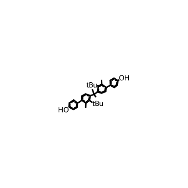 Cc1c(-c2ccc(O)cc2)ccc(C(C)(C)c2ccc(-c3ccc(O)cc3)c(C)c2C(C)(C)C)c1C(C)(C)C